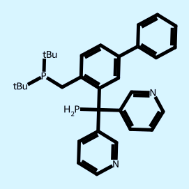 CC(C)(C)P(Cc1ccc(-c2ccccc2)cc1C(P)(c1cccnc1)c1cccnc1)C(C)(C)C